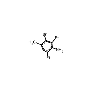 CCc1cc(C)c(Br)c(CC)c1N